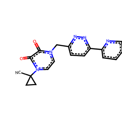 N#CC1(n2ccn(Cc3ccc(-c4ccccn4)nn3)c(=O)c2=O)CC1